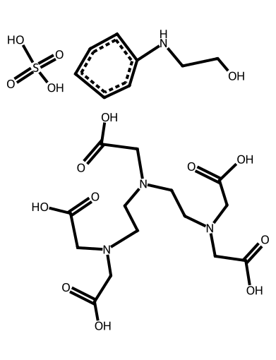 O=C(O)CN(CCN(CC(=O)O)CC(=O)O)CCN(CC(=O)O)CC(=O)O.O=S(=O)(O)O.OCCNc1ccccc1